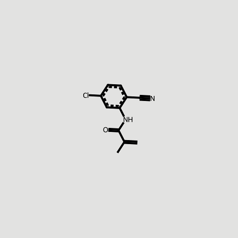 C=C(C)C(=O)Nc1cc(Cl)ccc1C#N